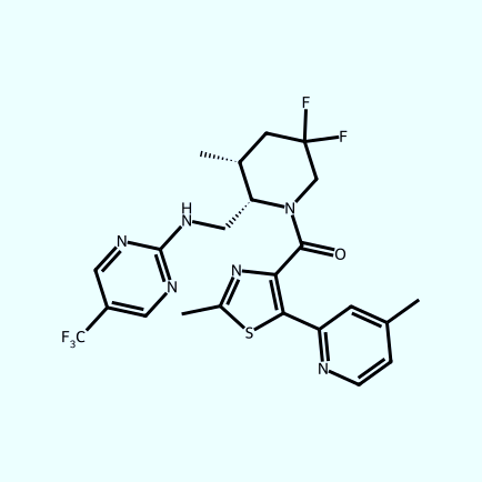 Cc1ccnc(-c2sc(C)nc2C(=O)N2CC(F)(F)C[C@@H](C)[C@H]2CNc2ncc(C(F)(F)F)cn2)c1